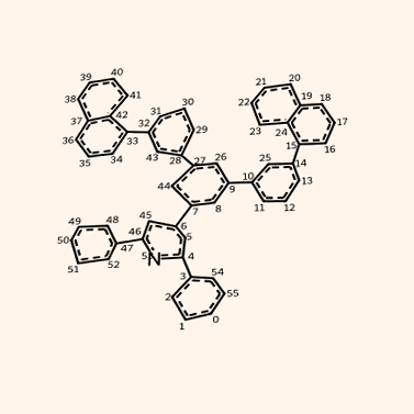 c1ccc(-c2cc(-c3cc(-c4cccc(-c5cccc6ccccc56)c4)cc(-c4cccc(-c5cccc6ccccc56)c4)c3)cc(-c3ccccc3)n2)cc1